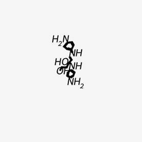 Nc1ccc(NCCC(O)(CCO)Nc2ccc(N)cc2)cc1